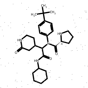 CC(C)(C)c1ccc(N(C(=O)[C@H]2CCCN2)C(C(=O)NC2CCCCC2)C2CCNC(=O)C2)cc1